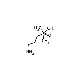 CS(C)(C)(=O)CCCN